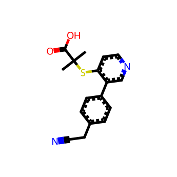 CC(C)(Sc1ccncc1-c1ccc(CC#N)cc1)C(=O)O